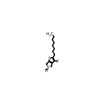 CCCCCCCCc1sc2c(c1F)C[S+]([O-])C2